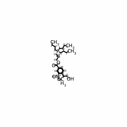 CCCC[PH](CCCC)(CCCC)CCCOC(=O)c1ccc(C(C)CO)c([N+](=O)[O-])c1